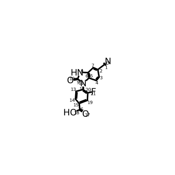 N#Cc1ccc2c(c1)[nH]c(=O)n2-c1ccc(C(=O)O)cc1F